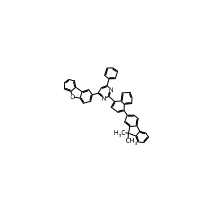 CC1(C)c2ccccc2-c2ccc(-c3ccc(-c4nc(-c5ccccc5)cc(-c5ccc6oc7ccccc7c6c5)n4)c4ccccc34)cc21